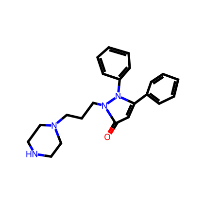 O=c1cc(-c2ccccc2)n(-c2ccccc2)n1CCCN1CCNCC1